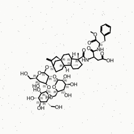 C=C1C[C@@]23CC[C@H]4[C@@](C)(CCC[C@@]4(C)C(=O)NC(CC(=O)O)C(=O)N[C@@H](Cc4ccccc4)C(=O)OC)[C@@H]2CC[C@]1(O[C@@H]1O[C@H](CO)[C@@H](O)[C@H](O[C@@H]2O[C@H](CO)[C@@H](O)[C@H](O)[C@H]2O)[C@H]1O[C@@H]1O[C@H](CO)[C@@H](O)[C@H](O)[C@H]1O)C3